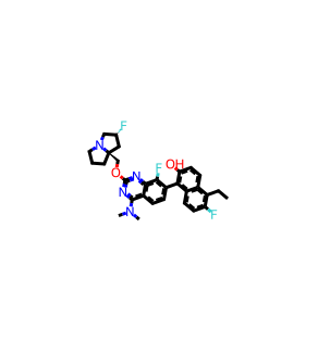 CCc1c(F)ccc2c(-c3ccc4c(N(C)C)nc(OC[C@@]56CCCN5C[C@H](F)C6)nc4c3F)c(O)ccc12